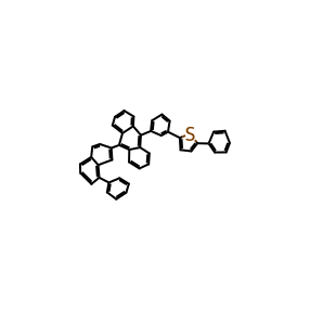 c1ccc(-c2ccc(-c3cccc(-c4c5ccccc5c(-c5ccc6cccc(-c7ccccc7)c6c5)c5ccccc45)c3)s2)cc1